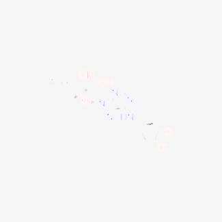 CC(=O)OC[C@H]1O[C@@H](n2cnc3c(NCc4ccc5c(c4)OCO5)ncnc32)C(O)[C@H]1O